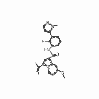 COc1ccn2c(C(C)=O)cc(C(=O)Nc3cccc(-c4ccnn4C)c3F)c2c1